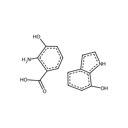 Nc1c(O)cccc1C(=O)O.Oc1cccc2cc[nH]c12